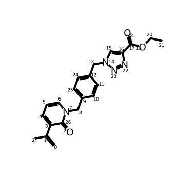 C=C(C)c1cccn(Cc2ccc(Cn3cc(C(=O)OCC)nn3)cc2)c1=O